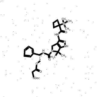 CCCCCCCCCCCC(=O)OC[C@@H](NC(=O)N1Cc2c(NC(=O)C3(S(C)(C)C)CCC3)n[nH]c2C1(C)C)c1ccccc1